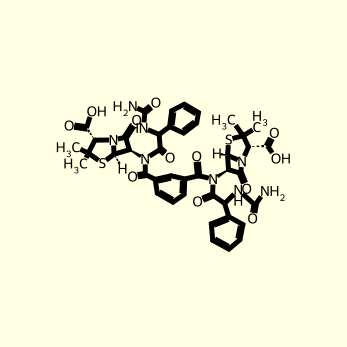 CC1(C)S[C@@H]2[C@H](N(C(=O)c3cccc(C(=O)N(C(=O)C(NC(N)=O)c4ccccc4)[C@@H]4C(=O)N5[C@@H]4SC(C)(C)[C@@H]5C(=O)O)c3)C(=O)C(NC(N)=O)c3ccccc3)C(=O)N2[C@H]1C(=O)O